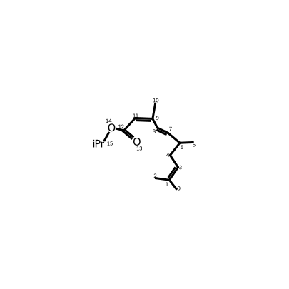 CC(C)=CCC(C)C=CC(C)=CC(=O)OC(C)C